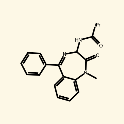 CC(C)C(=O)NC1N=C(c2ccccc2)c2ccccc2N(C)C1=O